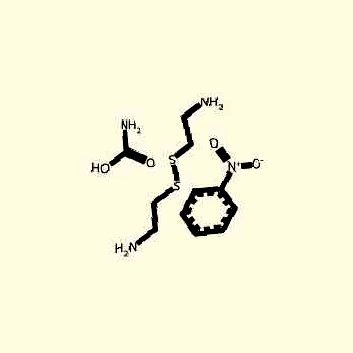 NC(=O)O.NCCSSCCN.O=[N+]([O-])c1ccccc1